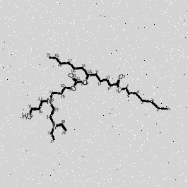 CCCCCCCOC(=O)CCCCC(CCCCCC)OC(=O)OCCCN(CCCO)CCN(CC)CC